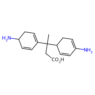 CC(CC(=O)O)(C1=CCC(N)C=C1)C1C=CC(N)=CC1